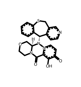 O=C1c2c(O)c(=O)ccn2N([C@H]2c3ccncc3CSc3ccccc32)[C@@H]2COCCN12